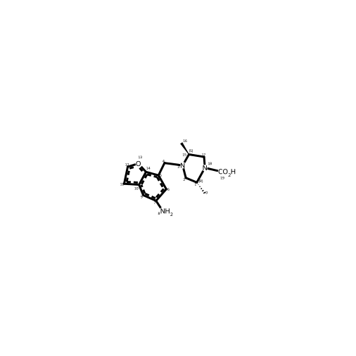 C[C@@H]1CN(Cc2cc(N)cc3ccoc23)[C@@H](C)CN1C(=O)O